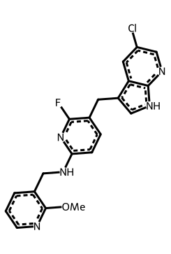 COc1ncccc1CNc1ccc(Cc2c[nH]c3ncc(Cl)cc23)c(F)n1